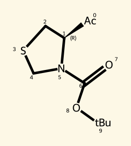 CC(=O)[C@@H]1CSCN1C(=O)OC(C)(C)C